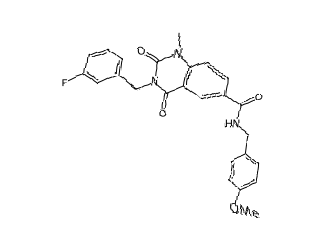 COc1ccc(CNC(=O)c2ccc3c(c2)c(=O)n(Cc2cccc(F)c2)c(=O)n3C)cc1